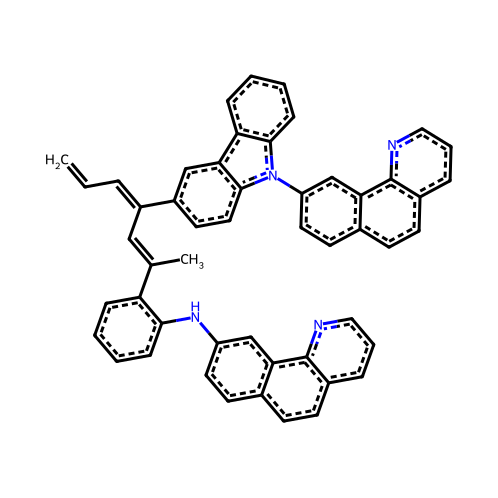 C=C/C=C(\C=C(/C)c1ccccc1Nc1ccc2ccc3cccnc3c2c1)c1ccc2c(c1)c1ccccc1n2-c1ccc2ccc3cccnc3c2c1